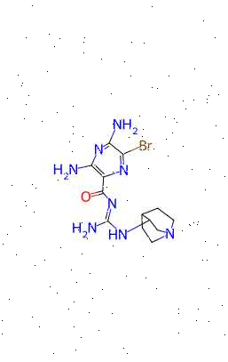 NC(=NC(=O)c1nc(Br)c(N)nc1N)NC1CN2CCC1CC2